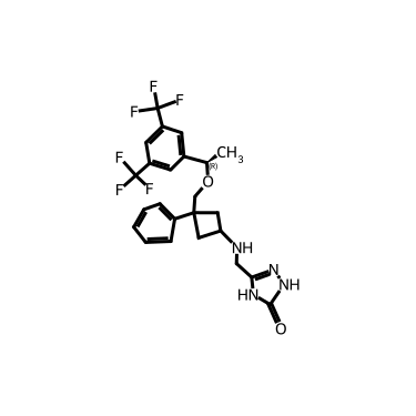 C[C@@H](OCC1(c2ccccc2)CC(NCc2n[nH]c(=O)[nH]2)C1)c1cc(C(F)(F)F)cc(C(F)(F)F)c1